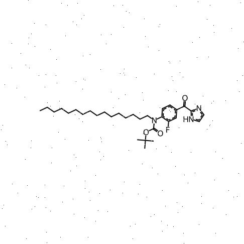 CCCCCCCCCCCCCCCCN(C(=O)OC(C)(C)C)c1ccc(C(=O)c2ncc[nH]2)cc1F